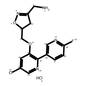 Cl.NCC1=NOC(COc2cc(Cl)cnc2-c2ccc(F)nc2)C1